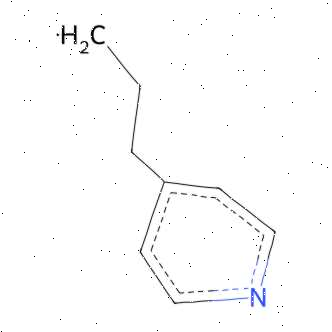 [CH2]CCc1ccncc1